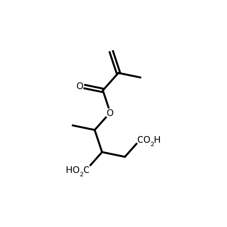 C=C(C)C(=O)OC(C)C(CC(=O)O)C(=O)O